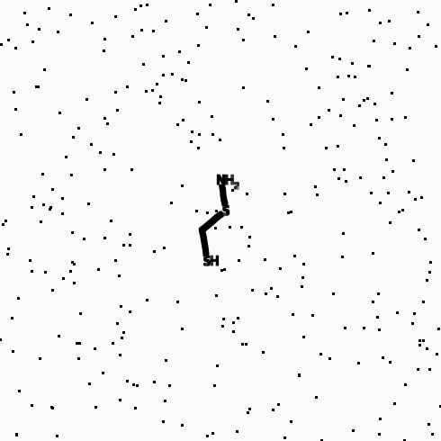 NSCS